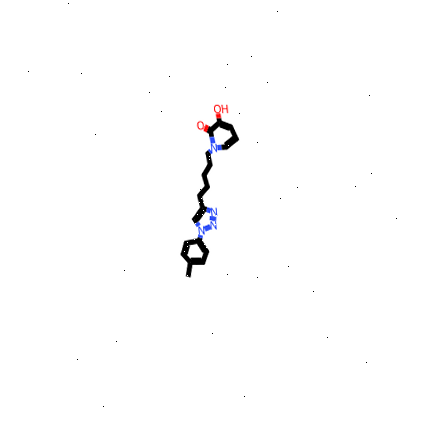 Cc1ccc(-n2cc(CCCCCn3cccc(O)c3=O)nn2)cc1